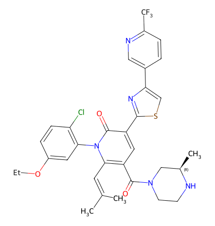 CCOc1ccc(Cl)c(-n2c(C=C(C)C)c(C(=O)N3CCN[C@H](C)C3)cc(-c3nc(-c4ccc(C(F)(F)F)nc4)cs3)c2=O)c1